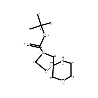 CC(C)(C)OC(=O)N1CC[C@]2(COCCN2)C1